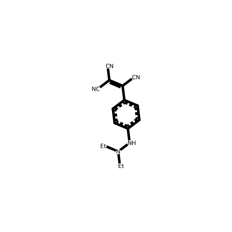 CCN(CC)Nc1ccc(C(C#N)=C(C#N)C#N)cc1